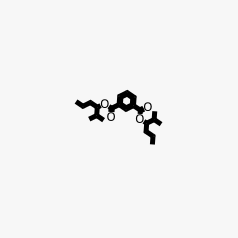 CCCC(OC(=O)c1cccc(C(=O)OC(CCC)C(C)C)c1)C(C)C